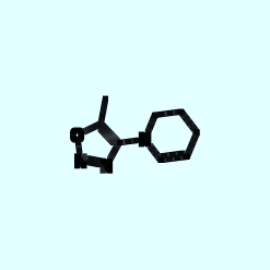 Cc1onnc1N1C=CCCC1